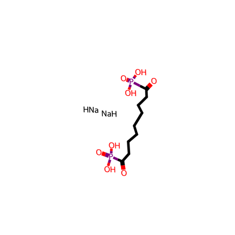 O=C(CCCCCCCC(=O)P(=O)(O)O)P(=O)(O)O.[NaH].[NaH]